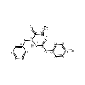 CCNC(=O)[C@H](Cc1ccccc1)NC(=S)Cc1ccc(C)cc1